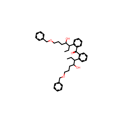 CCC(c1ccccc1C(=O)c1ccccc1C(CC)C(O)CCCOCc1ccccc1)C(O)CCCOCc1ccccc1